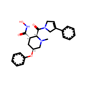 CN1C[C@@H](Oc2ccccc2)C[C@H](C(=O)NO)[C@H]1C(=O)N1CC=C(c2ccccc2)C1